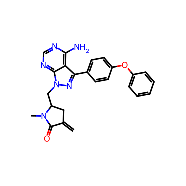 C=C1CC(Cn2nc(-c3ccc(Oc4ccccc4)cc3)c3c(N)ncnc32)N(C)C1=O